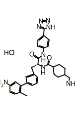 Cc1ccc(N)cc1-c1cccc(C[C@H](NC(=O)C2CCC(CN)CC2)C(=O)Nc2ccc(-c3nnn[nH]3)cc2)c1.Cl